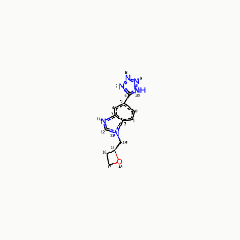 c1cc2c(cc1-c1nnn[nH]1)ncn2C[C@@H]1CCO1